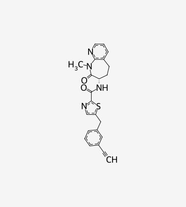 C#Cc1cccc(Cc2cnc(C(=O)N[C@H]3CCc4cccnc4N(C)C3=O)s2)c1